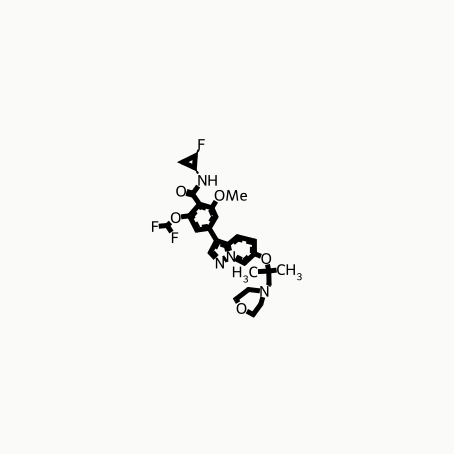 COc1cc(-c2cnn3cc(OC(C)(C)CN4CCOCC4)ccc23)cc(OC(F)F)c1C(=O)N[C@@H]1C[C@@H]1F